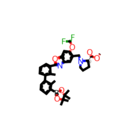 COC(=O)[C@@H]1CCCN1Cc1cc2nc(-c3cccc(-c4cccc(B5OC(C)(C)C(C)(C)O5)c4C)c3C)oc2cc1OC(F)F